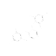 Brc1cc(Br)c(OC2N=CN=CN2Oc2c(Br)cc(Br)cc2Br)c(Br)c1